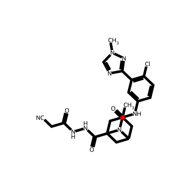 CC1CC2CC(C(=O)NNC(=O)CC#N)(C1)N2C(=O)Nc1ccc(Cl)c(-c2ncn(C)n2)c1